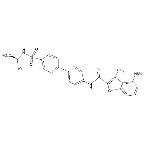 CNc1cccc2oc(C(=O)Nc3ccc(-c4ccc(S(=O)(=O)N[C@H](C(=O)O)C(C)C)cc4)cc3)c(C)c12